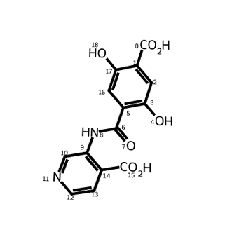 O=C(O)c1cc(O)c(C(=O)Nc2cnccc2C(=O)O)cc1O